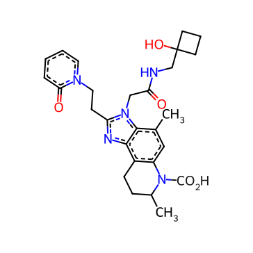 Cc1cc2c(c3nc(CCn4ccccc4=O)n(CC(=O)NCC4(O)CCC4)c13)CCC(C)N2C(=O)O